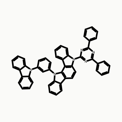 c1ccc(-c2nc(-c3ccccc3)nc(-n3c4ccccc4c4c3ccc3c5ccccc5n(-c5cccc(-n6c7ccccc7c7ccccc76)c5)c34)n2)cc1